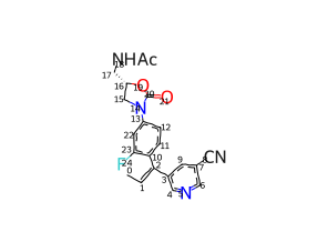 C/C=C(/c1cncc(C#N)c1)c1ccc(N2C[C@H](CNC(C)=O)OC2=O)cc1F